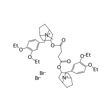 CCOc1ccc(C[N+]2(C)C3CCC2CC(OC(=O)CCC(=O)OC2CC4CCC(C2)[N+]4(C)Cc2ccc(OCC)c(OCC)c2)C3)cc1OCC.[Br-].[Br-]